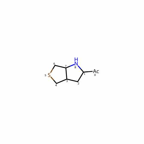 CC(=O)C1CC2CSCC2N1